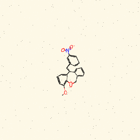 COc1cccc2c1OCc1ccccc1C2=Cc1cccc([N+](=O)[O-])c1